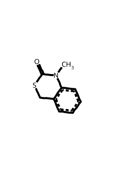 CN1C(=O)SCc2ccccc21